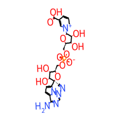 N#C[C@@]1(c2ccc3c(N)ncnn23)O[C@H](COP(=O)([O-])OC[C@H]2O[C@@H]([n+]3cccc(C(=O)O)c3)[C@H](O)[C@@H]2O)[C@@H](O)[C@H]1O